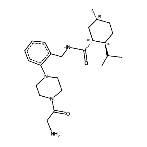 CC(C)[C@@H]1CC[C@@H](C)C[C@H]1C(=O)NCc1ccccc1N1CCN(C(=O)CN)CC1